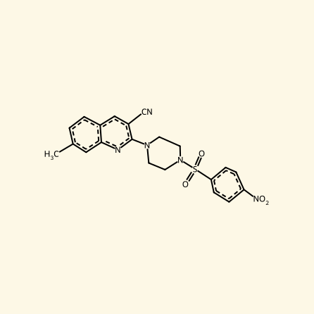 Cc1ccc2cc(C#N)c(N3CCN(S(=O)(=O)c4ccc([N+](=O)[O-])cc4)CC3)nc2c1